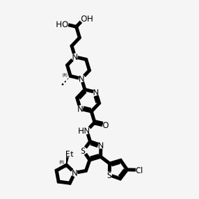 CC[C@@H]1CCCN1Cc1sc(NC(=O)c2cnc(N3CCN(CCC(O)O)C[C@H]3C)cn2)nc1-c1cc(Cl)cs1